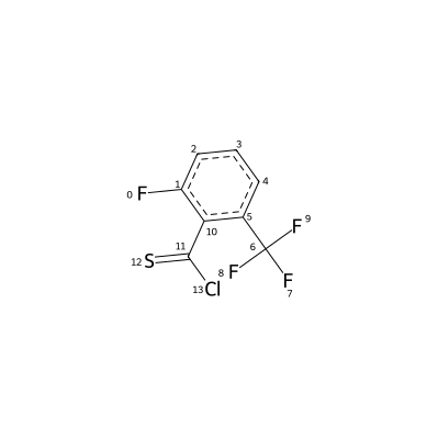 Fc1cccc(C(F)(F)F)c1C(=S)Cl